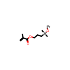 C=C(C)C(=O)OCCC[Si](C)(C)OC(C)C